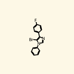 Fc1ccc(-c2ncn(-c3ccccc3)c2Br)cc1